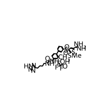 CSc1sc(C(=N)N)cc1S(=O)(=O)c1cccc(-c2ccc(NC(=O)NCCCCc3nn[nH]n3)cc2C)c1.O=C(O)C(F)(F)F